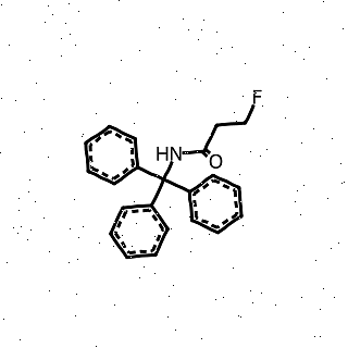 O=C(CCF)NC(c1ccccc1)(c1ccccc1)c1ccccc1